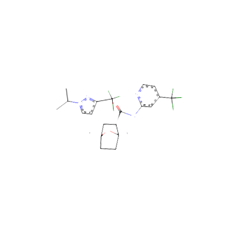 CC(C)n1cc([C@H]2[C@H]3O[C@H](C[C@@H]3O)[C@@H]2C(=O)Nc2cc(C(F)(F)F)ccn2)c(C(F)(F)F)n1